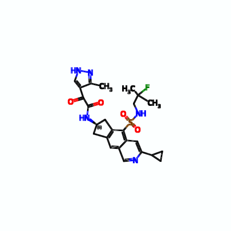 Cc1n[nH]cc1C(=O)C(=O)N[C@@H]1Cc2cc3cnc(C4CC4)cc3c(S(=O)(=O)NCC(C)(C)F)c2C1